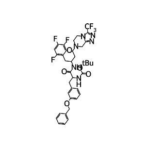 CC(C)(C)OC(=O)NC(Cc1cccc(OCc2ccccc2)c1)C(=O)NC(CC(=O)N1CCn2c(nnc2C(F)(F)F)C1)Cc1cc(F)c(F)cc1F